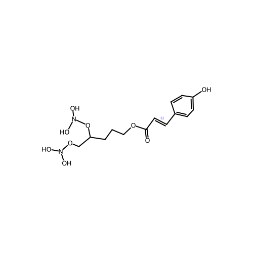 O=C(/C=C/c1ccc(O)cc1)OCCCC(CON(O)O)ON(O)O